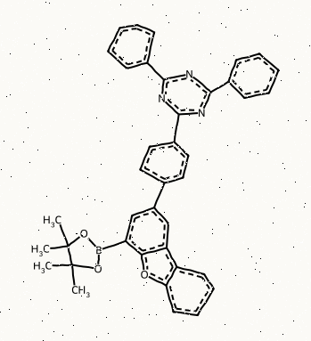 CC1(C)OB(c2cc(-c3ccc(-c4nc(-c5ccccc5)nc(-c5ccccc5)n4)cc3)cc3c2oc2ccccc23)OC1(C)C